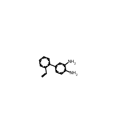 C=Cc1ccccc1-c1ccc(N)c(N)c1